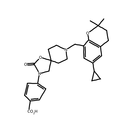 CC1(C)CCc2cc(C3CC3)cc(CN3CCC4(CC3)CN(c3ccc(C(=O)O)cc3)C(=O)O4)c2O1